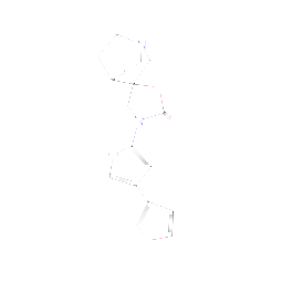 O=C1OC2(CN3CCC2CC3)CN1c1cc(-c2ccoc2)co1